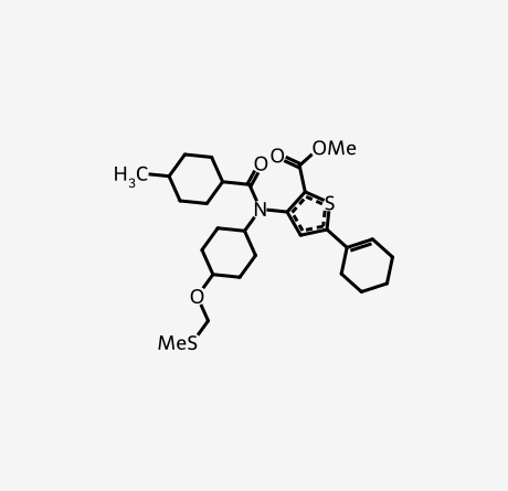 COC(=O)c1sc(C2=CCCCC2)cc1N(C(=O)C1CCC(C)CC1)C1CCC(OCSC)CC1